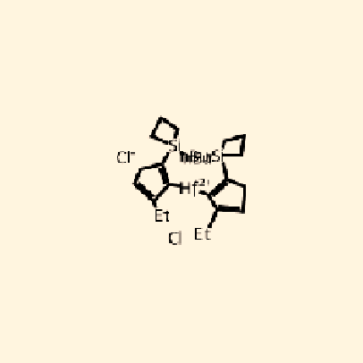 CCCC[Si]1(C2=[C]([Hf+2][C]3=C([Si]4(CCCC)CCC4)CC=C3CC)C(CC)=CC2)CCC1.[Cl-].[Cl-]